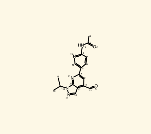 CC(=O)Nc1ccc(-c2cc(C=O)c3cnn(C(C)C)c3n2)cn1